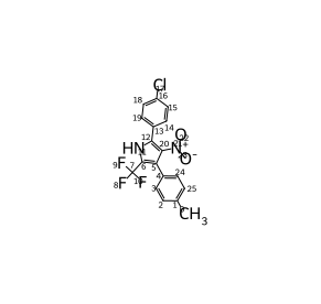 Cc1ccc(-c2c(C(F)(F)F)[nH]c(-c3ccc(Cl)cc3)c2[N+](=O)[O-])cc1